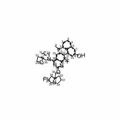 CCc1cccc2cc(O)cc(-c3c(F)cc4c(N5CCC[C@]6(CCO6)C5)nc(OC[C@@]56CCCN5C[C@H](F)C6)nc4c3F)c12